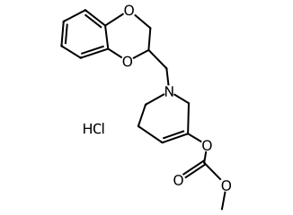 COC(=O)OC1=CCCN(CC2COc3ccccc3O2)C1.Cl